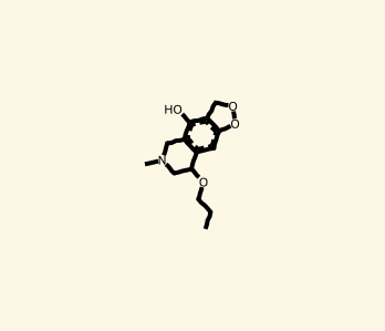 CCCOC1CN(C)Cc2c1cc1c(c2O)COO1